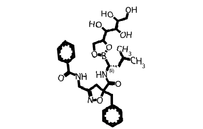 CC(C)C[C@H](NC(=O)C1(Cc2ccccc2)CC(CNC(=O)c2ccccc2)=NO1)B1OCC(C(O)C(O)C(O)CO)O1